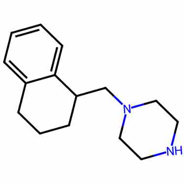 c1ccc2c(c1)CCCC2CN1CCNCC1